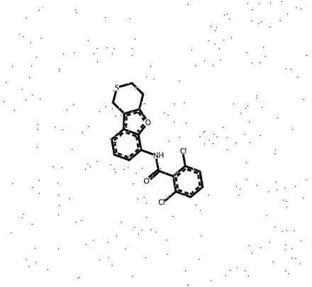 O=C(Nc1cccc2c3c(oc12)CCSC3)c1c(Cl)cccc1Cl